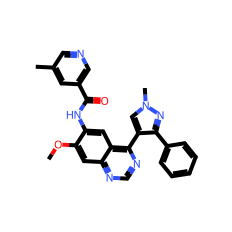 COc1cc2ncnc(-c3cn(C)nc3-c3ccccc3)c2cc1NC(=O)c1cncc(C)c1